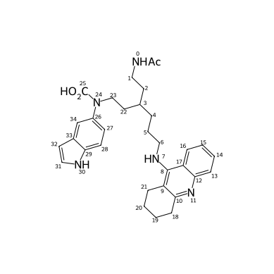 CC(=O)NCCC(CCCNc1c2c(nc3ccccc13)CCCC2)CCN(C(=O)O)c1ccc2[nH]ccc2c1